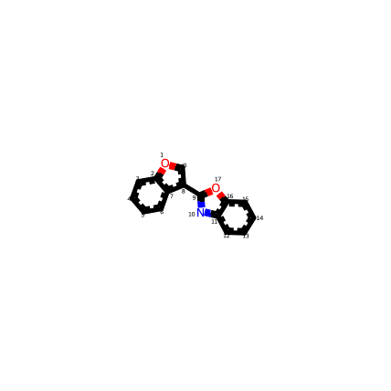 [c]1oc2ccccc2c1-c1nc2ccccc2o1